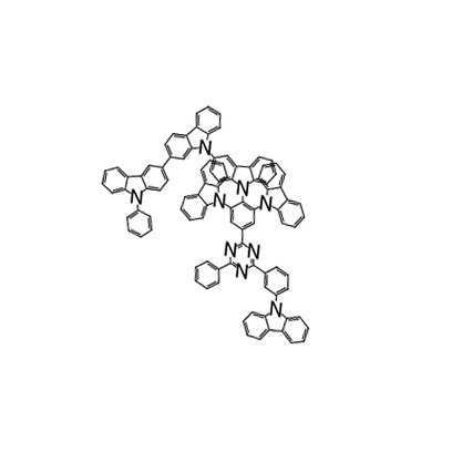 c1ccc(-c2nc(-c3cccc(-n4c5ccccc5c5ccccc54)c3)nc(-c3cc(-n4c5ccccc5c5ccccc54)c(-n4c5ccccc5c5cc(-n6c7ccccc7c7ccc(-c8ccc9c(c8)c8ccccc8n9-c8ccccc8)cc76)ccc54)c(-n4c5ccccc5c5ccccc54)c3)n2)cc1